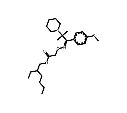 CCCCC(CC)COC(=O)CON=C(c1ccc(SC)cc1)C(C)(C)N1CCCCC1